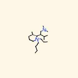 CCCC[N+]1(CCC)CCCC(C)C1C(CN(C)C)C(C)C